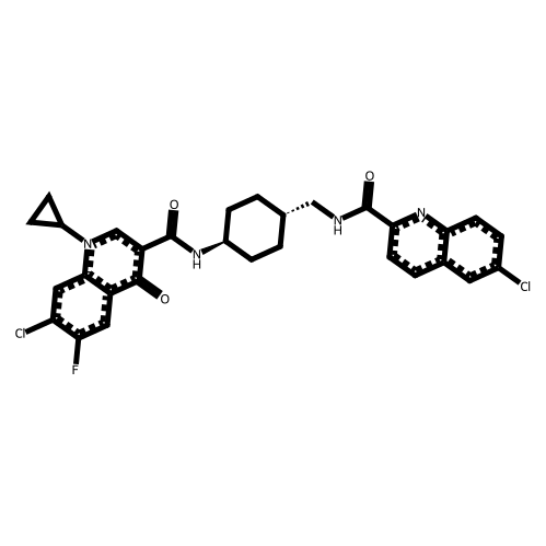 O=C(NC[C@H]1CC[C@H](NC(=O)c2cn(C3CC3)c3cc(Cl)c(F)cc3c2=O)CC1)c1ccc2cc(Cl)ccc2n1